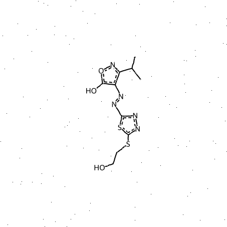 CC(C)c1noc(O)c1N=Nc1nnc(SCCO)s1